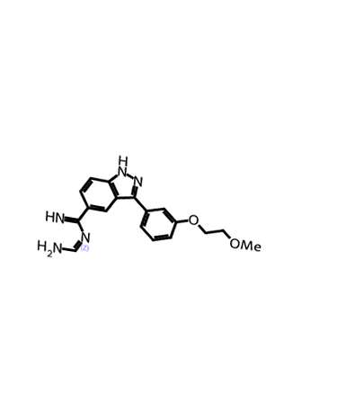 COCCOc1cccc(-c2n[nH]c3ccc(C(=N)/N=C\N)cc23)c1